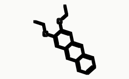 CCOc1cc2cc3ccccc3cc2cc1OCC